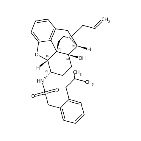 C=CCN1CC[C@]23c4c5cccc4O[C@H]2[C@@H](NS(=O)(=O)Cc2ccccc2CC(C)C)CC[C@@]3(O)[C@H]1C5